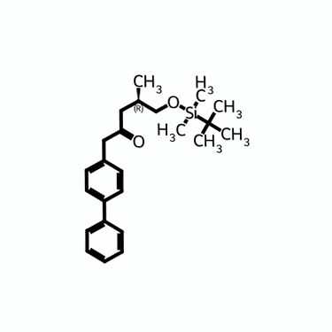 C[C@@H](CO[Si](C)(C)C(C)(C)C)CC(=O)Cc1ccc(-c2ccccc2)cc1